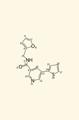 O=C(NCc1ccco1)c1cncc(-c2cccs2)c1